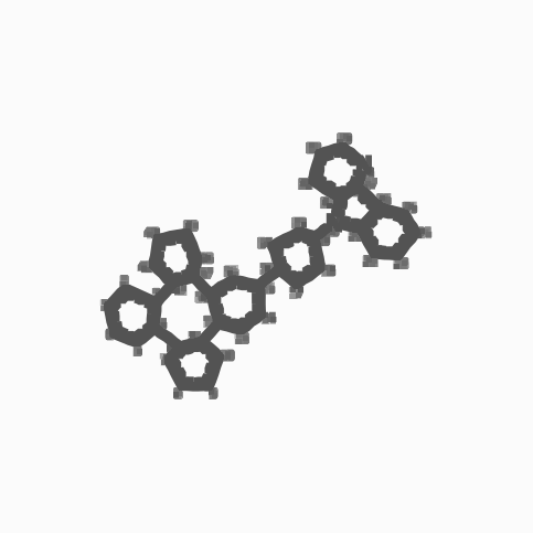 c1ccc2c(c1)-c1ccccc1-c1ccc(-c3ccc(-n4c5ccccc5c5ncccc54)cc3)cc1-c1ccccc1-2